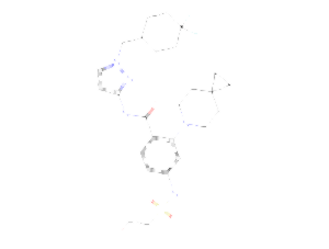 O=C(Nc1ccn(CC2CCC(F)(F)CC2)n1)c1ccc(NS(=O)(=O)CCO)cc1N1CCC2(CC1)CC2